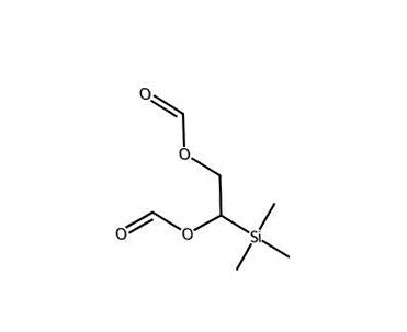 C[Si](C)(C)C(COC=O)OC=O